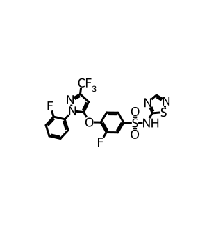 O=S(=O)(Nc1ncns1)c1ccc(Oc2cc(C(F)(F)F)nn2-c2ccccc2F)c(F)c1